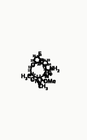 COc1c2c(nn1C)C(=O)N(C)CCOc1ccc(F)cc1[C@H]1CCCN1c1cc-2nnc1N